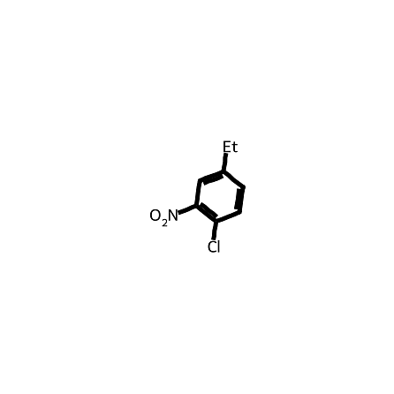 [CH2]Cc1ccc(Cl)c([N+](=O)[O-])c1